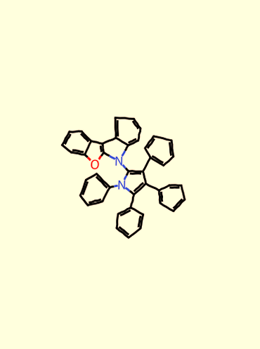 c1ccc(-c2c(-c3ccccc3)c(-n3c4ccccc4c4c5ccccc5oc43)n(-c3ccccc3)c2-c2ccccc2)cc1